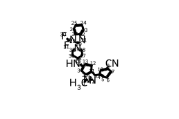 Cn1nc(-c2cccc(C#N)c2)c2ccc(NC3CCN(c4nc5ccccc5n4C(F)F)CC3)cc21